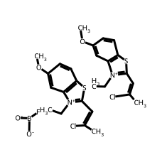 CC[n+]1c(C=C(C)Cl)sc2ccc(OC)cc21.CC[n+]1c(C=C(C)Cl)sc2ccc(OC)cc21.[O-]B([O-])F